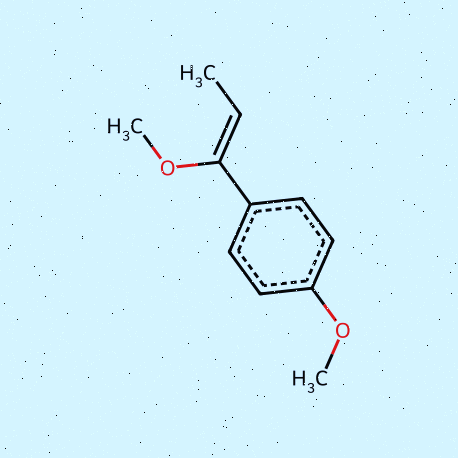 CC=C(OC)c1ccc(OC)cc1